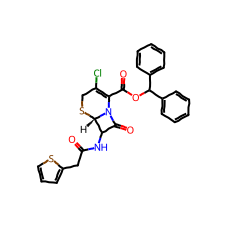 O=C(Cc1cccs1)NC1C(=O)N2C(C(=O)OC(c3ccccc3)c3ccccc3)=C(Cl)CS[C@@H]12